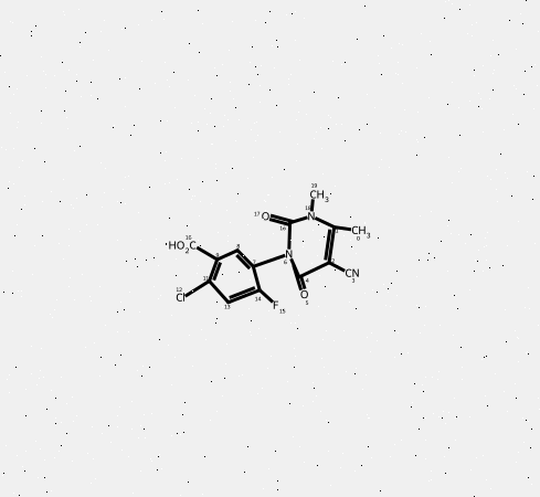 Cc1c(C#N)c(=O)n(-c2cc(C(=O)O)c(Cl)cc2F)c(=O)n1C